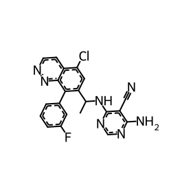 CC(Nc1ncnc(N)c1C#N)c1cc(Cl)c2ccnnc2c1-c1cccc(F)c1